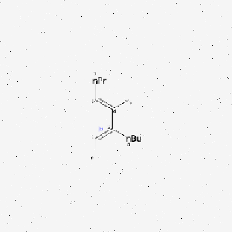 C/[C]=C(\CCCC)C(C)=CCCC